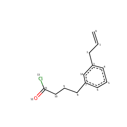 C=CCc1cccc(CCCC(=O)Cl)c1